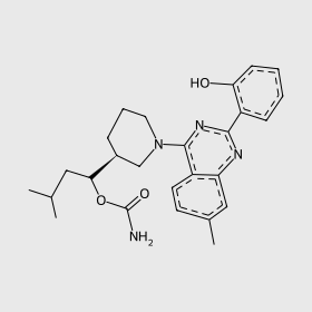 Cc1ccc2c(N3CCC[C@H](C(CC(C)C)OC(N)=O)C3)nc(-c3ccccc3O)nc2c1